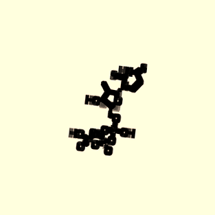 CC1[C@@H](O)[C@@H](COP(=O)(O)OP(=O)(O)OP(=O)(O)O)O[C@H]1n1ccc(=S)[nH]c1=S